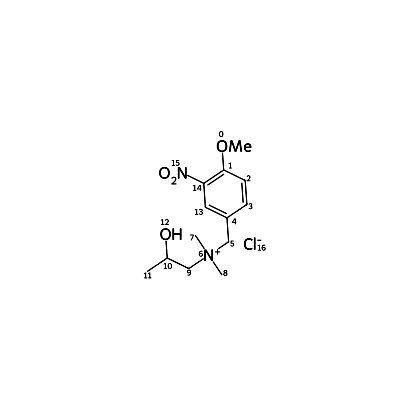 COc1ccc(C[N+](C)(C)CC(C)O)cc1[N+](=O)[O-].[Cl-]